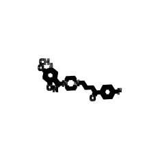 COc1ccc2c(N3CCN(CCCC(=O)c4ccc(F)cc4)CC3)noc2c1